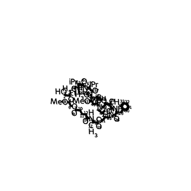 CCC(CO)OC(COC(=O)CCCC(=O)N[C@@H](C)C(=O)OCCCNC(=O)[C@H](Cc1ccccc1)NC(=O)[C@H](C)[C@@H](OC)[C@@H]1CCCN1C(=O)CC(OC)[C@H]([C@@H](C)CC)N(C)C(=O)[C@@H](NC(=O)[C@H](C(C)C)N(C)C)C(C)C)OC